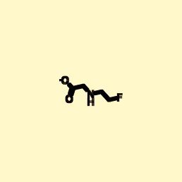 [O]C(=O)CNCCF